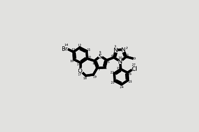 Cc1nnc(-c2cc3c(s2)-c2ccc(Br)cc2OCC3)n1-c1ccccc1Cl